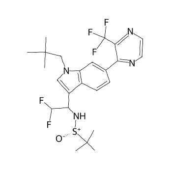 CC(C)(C)Cn1cc(C(N[S@@+]([O-])C(C)(C)C)C(F)F)c2ccc(-c3nccnc3C(F)(F)F)cc21